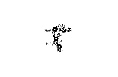 COc1cc(C(=O)O)c(NC(=O)c2ccc(-n3ccnc3)nn2)cc1OCCc1cc(C(=O)O)c(NC(=O)c2ccc3nnnn3n2)cc1C#N